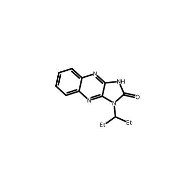 CCC(CC)n1c(=O)[nH]c2nc3ccccc3nc21